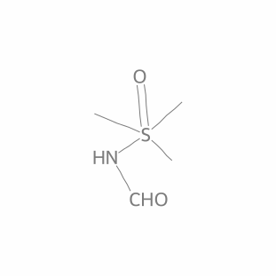 CS(C)(C)(=O)NC=O